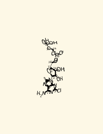 Nc1nc(Cl)nc2c1ncn2[C@@H]1O[C@H](CO[PH](=O)OCO[PH](=O)O)[C@@H](O)[C@H]1O